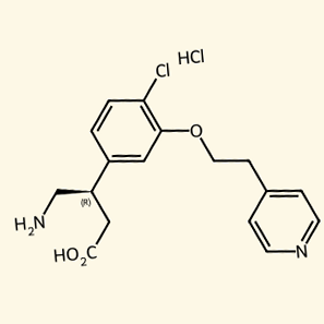 Cl.NC[C@H](CC(=O)O)c1ccc(Cl)c(OCCc2ccncc2)c1